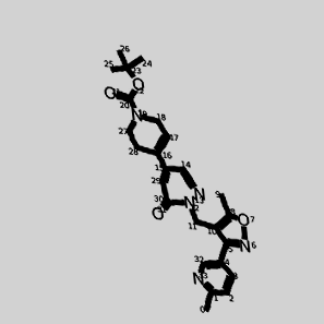 Cc1ccc(-c2noc(C)c2Cn2ncc(C3=CCN(C(=O)OC(C)(C)C)CC3)cc2=O)cn1